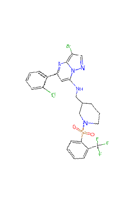 O=S(=O)(c1ccccc1C(F)(F)F)N1CCCC(CNc2cc(-c3ccccc3Cl)nc3c(Br)cnn23)C1